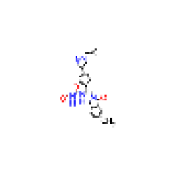 Cc1ccc2c(c1)C(=O)N(C[C@H](NC(=O)NC=O)c1ccc(-c3cnn(CC4CC4)c3)cc1)C2